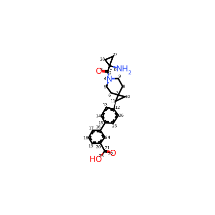 NC1(C(=O)N2CCC3(CC2)C[C@H]3c2ccc(-c3cccc(C(=O)O)c3)cc2)CC1